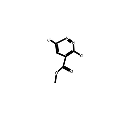 COC(=O)c1cc(Cl)nnc1Cl